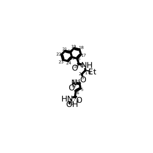 CC[C@@H](COc1cc(C(=O)NO)on1)NC(=O)c1cccc2ccccc12